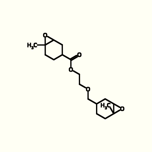 CC12CCC(COCCOC(=O)C3CCC4(C)OC4C3)CC1O2